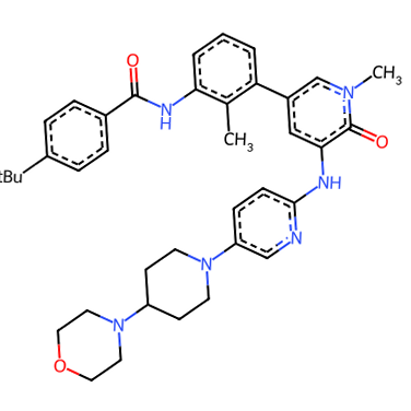 Cc1c(NC(=O)c2ccc(C(C)(C)C)cc2)cccc1-c1cc(Nc2ccc(N3CCC(N4CCOCC4)CC3)cn2)c(=O)n(C)c1